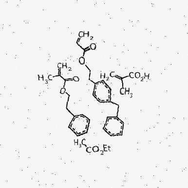 C=C(C)C(=O)O.C=C(C)C(=O)OCCc1ccccc1.C=CC(=O)OCCc1ccc(Cc2ccccc2)cc1.CCOC(C)=O